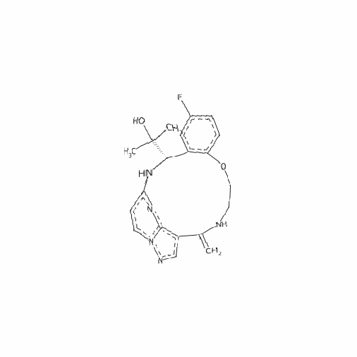 C=C1NCCOc2ccc(F)cc2[C@@H](C(C)(C)O)Nc2ccn3ncc1c3n2